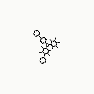 Cc1c(C)c(C)c(B(c2ccc(-c3ccccc3)cc2)c2c(C)c(C)c(-c3ccccc3)c(C)c2C)c(C)c1C